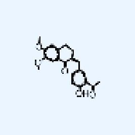 COc1cc2c(cc1OC)C(=O)C(=Cc1ccc(O)c(C(C)=O)c1)CC2